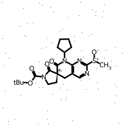 C[S+]([O-])c1ncc2c(n1)N(C1CCCC1)C(=O)[C@]1(CCN(C(=O)OC(C)(C)C)C1=O)C2